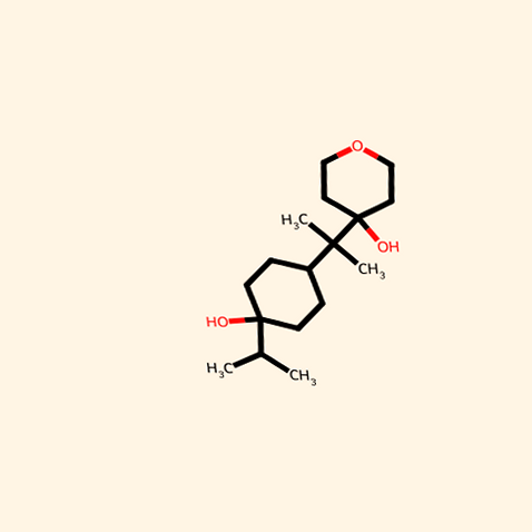 CC(C)C1(O)CCC(C(C)(C)C2(O)CCOCC2)CC1